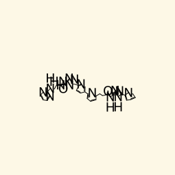 O=C(CCNc1ncccn1)Nc1nnc(-c2ccc(-c3cccc(CCC(=O)Nc4nnc(-c5ccccn5)[nH]4)n3)cn2)[nH]1